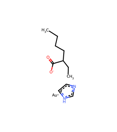 CCCCC(CC)C(=O)[O-].[Au+].c1c[nH]cn1